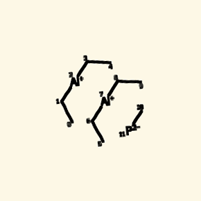 C[CH2][Al+][CH2]C.C[CH2][Al+][CH2]C.C[P-2]